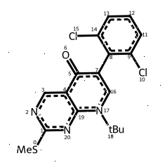 CSc1ncc2c(=O)c(-c3c(Cl)cccc3Cl)cn(C(C)(C)C)c2n1